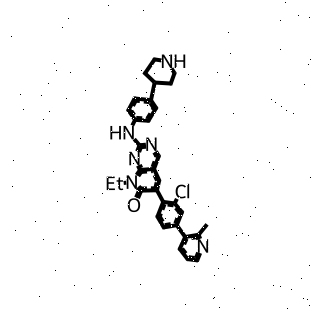 CCn1c(=O)c(-c2ccc(-c3cccnc3C)cc2Cl)cc2cnc(Nc3ccc(C4CCNCC4)cc3)nc21